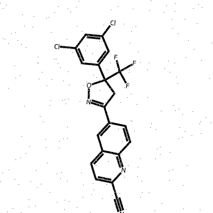 N#Cc1ccc2cc(C3=NOC(c4cc(Cl)cc(Cl)c4)(C(F)(F)F)C3)ccc2n1